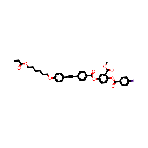 C=CC(=O)OCCCCCCOc1ccc(C#Cc2ccc(C(=O)Oc3ccc(OC(=O)c4ccc(I)cc4)c(C(=O)OC)c3)cc2)cc1